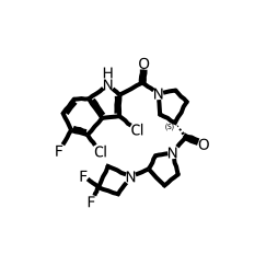 O=C(c1[nH]c2ccc(F)c(Cl)c2c1Cl)N1CC[C@H](C(=O)N2CCC(N3CC(F)(F)C3)C2)C1